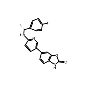 C[C@@H](Nc1ccc(-c2ccc3[nH]c(=O)oc3c2)cn1)c1ccc(F)cc1